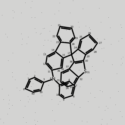 c1ccc(N(c2ccccc2)c2ccc3c(c2)C2(c4ccccc4-3)c3ccccc3-c3sc4ccccc4c32)cc1